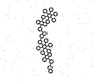 c1ccc(-c2c(-c3ccccc3)c(-c3ccccc3)c(-c3cccc(-c4c5ccccc5c(-c5cccc(-c6cncc7cc(-c8cccc(-c9c(-c%10ccccc%10)c(-c%10ccccc%10)c(-c%10ccccc%10)c(-c%10cccc(-c%11c%12ccccc%12c(-c%12cccc(-c%13ccc%14ccccc%14n%13)c%12)c%12ccccc%11%12)c%10)c9-c9ccccc9)c8)ccc67)c5)c5ccccc45)c3)c(-c3ccccc3)c2-c2ccccc2)cc1